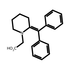 O=C(O)CN1CCCCC1=C(c1ccccc1)c1ccccc1